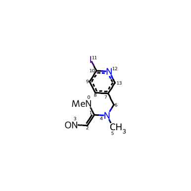 CN/C(=C\N=O)N(C)Cc1ccc(I)nc1